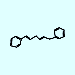 C(=C\Cc1ccccc1)/C/C=C/c1ccccc1